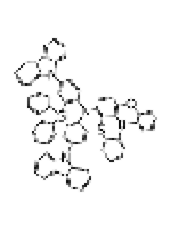 c1ccc([Si]2(c3ccccc3)c3cc(-n4c5ccccc5c5ccccc54)ccc3N(c3ccc4c5c3Sc3ccccc3B5c3ccccc3O4)c3ccc(-n4c5ccccc5c5ccccc54)cc32)cc1